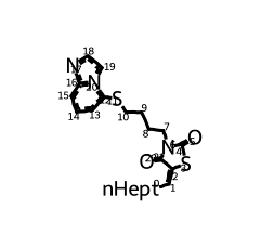 CCCCCCCC=C1SC(=O)N(CCCCSc2cccc3nccn23)C1=O